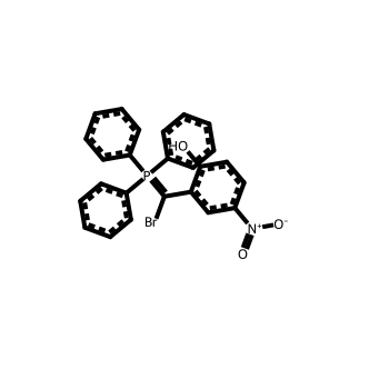 O=[N+]([O-])c1ccc(O)c(C(Br)=P(c2ccccc2)(c2ccccc2)c2ccccc2)c1